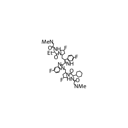 CCC(NC(=O)CNC)C(=O)N1CC(F)CC1Cc1c(-c2nc3cc(F)ccc3n2CC2CC(F)CN2C(=O)C(NC(=O)CNC)C2CCCCC2)[nH]c2cc(F)ccc12